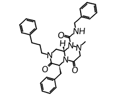 CN1CC(=O)N2[C@@H](Cc3ccccc3)C(=O)N(CCCc3ccccc3)C[C@@H]2N1C(=O)NCc1ccccc1